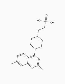 Cc1ccc2c(N3CCN(CCP(=O)(O)O)CC3)nc(C)nc2c1